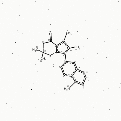 Cc1c2c(n(-c3ccc4c(N)ncnc4c3)c1C)CC(C)(C)CC2=O